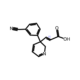 N#Cc1cccc(C2(/C=C/C(=O)O)C=CC=NC2)c1